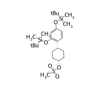 CC(C)(C)[Si](C)(C)Oc1ccc([C@H]2CC[C@@H](OS(C)(=O)=O)CC2)c(O[Si](C)(C)C(C)(C)C)c1